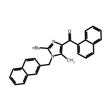 [CH2]c1c(C(=O)c2cccc3ccccc23)nc(CCCC)n1Cc1ccc2ccccc2c1